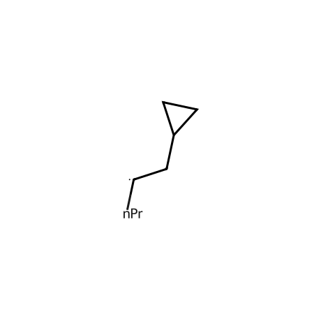 CCC[CH]CC1CC1